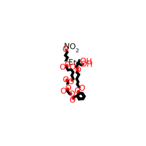 CCC(CO)(CO)C(=O)OCCCCCC(=O)Oc1ccccc1C(=O)OCC(=O)OCC(=O)OCCCCCC(=O)OCCCCO[N+](=O)[O-]